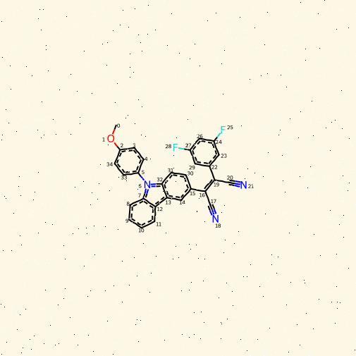 COc1ccc(-n2c3ccccc3c3cc(/C(C#N)=C(/C#N)c4cc(F)cc(F)c4)ccc32)cc1